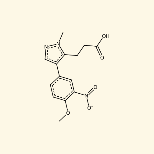 COc1ccc(-c2cnn(C)c2CCC(=O)O)cc1[N+](=O)[O-]